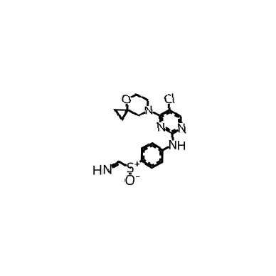 N=C[S+]([O-])c1ccc(Nc2ncc(Cl)c(N3CCOC4(CC4)C3)n2)cc1